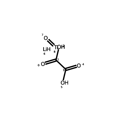 O=C(O)C(=O)O.[LiH].[O]=[Ti]